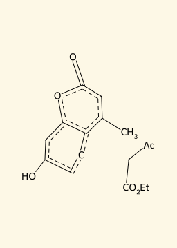 CCOC(=O)CC(C)=O.Cc1cc(=O)oc2cc(O)ccc12